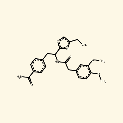 CCc1csc(C(Cc2ccc(C(N)=O)cc2)NC(=O)Cc2ccc(OC)c(OC)c2)n1